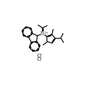 CC1=[C]([Zr+2](=[C](C)C)[CH]2c3ccccc3-c3ccccc32)C(C)C=C1C(C)C.[Cl-].[Cl-]